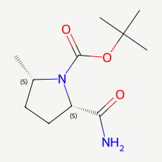 C[C@H]1CC[C@@H](C(N)=O)N1C(=O)OC(C)(C)C